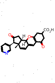 C[C@]12C=CC3=CC4=C(CC(C(=O)O)CC4=O)O[C@H]3[C@@H]1CC(=O)[C@@H]2c1cccnc1